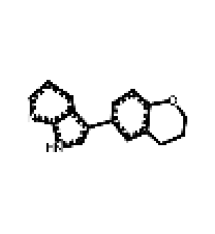 c1cnc2[nH]cc(-c3ccc4c(c3)CCCO4)c2c1